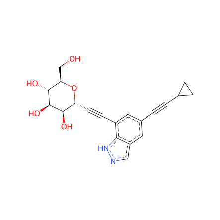 OC[C@H]1O[C@H](C#Cc2cc(C#CC3CC3)cc3cn[nH]c23)[C@@H](O)[C@@H](O)[C@@H]1O